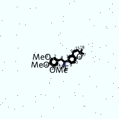 COc1cc(C/C(=C/[18F])c2ccc3c(c2)C=CC(C)(C)O3)cc(OC)c1OC